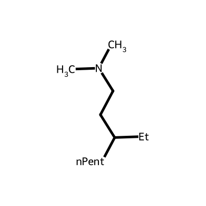 CCCCCC(CC)CCN(C)C